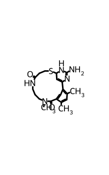 Cc1cc(C)c2cc1C(=O)N(C)CCCNC(=O)CCSC1C=C2N=C(N)N1